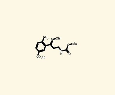 CCOC(=O)c1ccc(N)c(C(CCNC(=O)OC(C)(C)C)=NO)c1